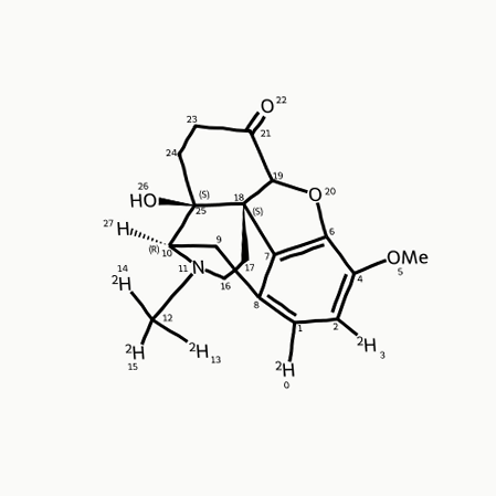 [2H]c1c([2H])c(OC)c2c3c1C[C@H]1N(C([2H])([2H])[2H])CC[C@@]34C(O2)C(=O)CC[C@@]14O